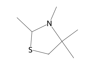 CC1SCC(C)(C)N1C